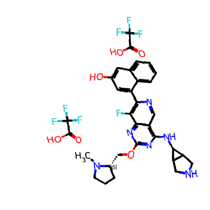 CN1CCC[C@H]1COc1nc(NC2C3CNCC32)c2cnc(-c3cc(O)cc4ccccc34)c(F)c2n1.O=C(O)C(F)(F)F.O=C(O)C(F)(F)F